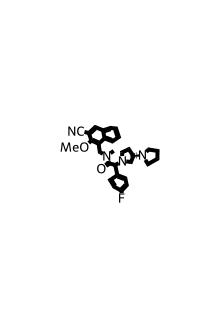 COc1c(C#N)cc2ccccc2c1CN(C)C(=O)C(c1ccc(F)cc1)N1CC[C@@H](N2CCCC2)C1